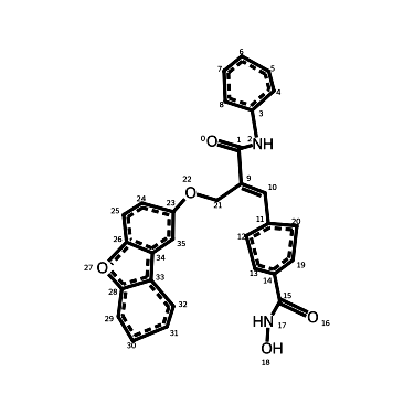 O=C(Nc1ccccc1)/C(=C/c1ccc(C(=O)NO)cc1)COc1ccc2oc3ccccc3c2c1